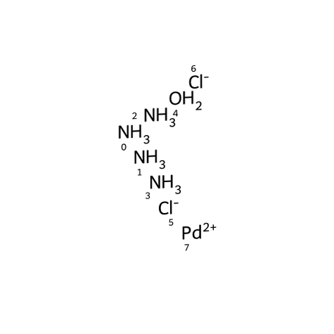 N.N.N.N.O.[Cl-].[Cl-].[Pd+2]